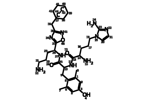 Cc1cc(O)cc(C)c1CC(NC(=O)C(N)CCCn1ccnc1N)C(=O)N[C@@H](CCCN)c1nc(CC23CCC(CC2)CC3)no1